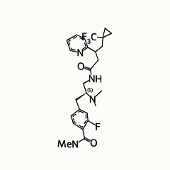 CNC(=O)c1ccc(C[C@@H](CNC(=O)CC(CC2(C(F)(F)F)CC2)c2ccccn2)N(C)C)cc1F